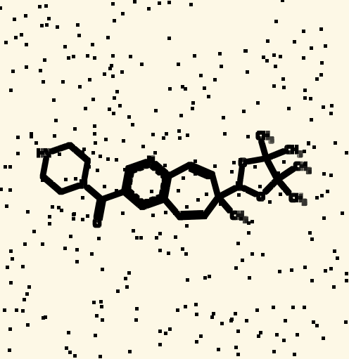 CC1(B2OC(C)(C)C(C)(C)O2)C=Cc2cc(C(=O)N3CCNCC3)cnc2C=C1